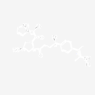 CCN/C(C)=C(\C)c1ccc([C@H](CC)CCC(=O)[C@@H]2C[C@@H](O)CC2C(=O)[C@H](C(C)C)N2C=CCN2)cc1